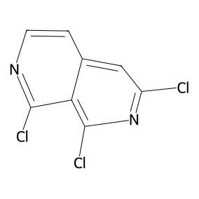 Clc1cc2ccnc(Cl)c2c(Cl)n1